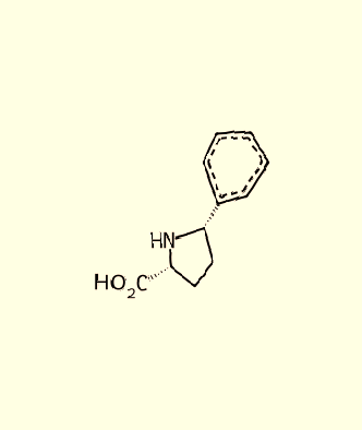 O=C(O)[C@H]1CC[C@@H](c2ccccc2)N1